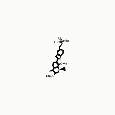 CCOC(=O)c1cn(C2CC2)c2c(OC)c(-c3cc4c(s3)CCC(CO[Si](C)(C)C(C)(C)C)=C4)ccc2c1=O